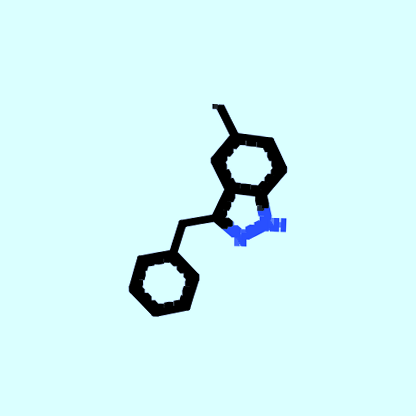 [CH2]c1ccc2[nH]nc(Cc3ccccc3)c2c1